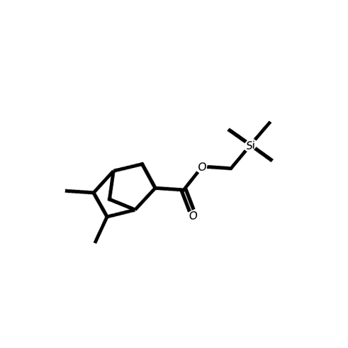 CC1C2CC(C(=O)OC[Si](C)(C)C)C(C2)C1C